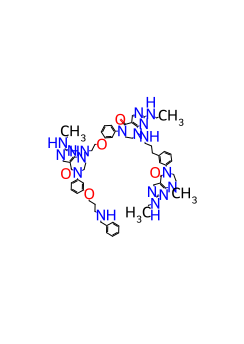 CCNc1ncc2c(n1)N(C)CCN(c1cccc(CCCNN3CCN(c4cccc(OCCNN5CCN(c6cccc(OCCCNCc7ccccc7)c6)C(=O)c6cnc(NCC)nc65)c4)C(=O)c4cnc(NCC)nc43)c1)C2=O